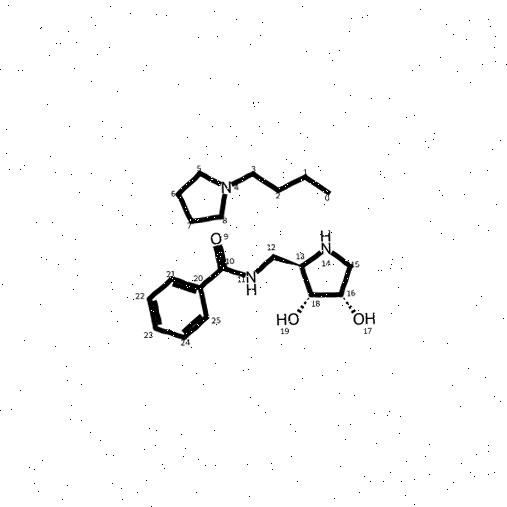 CCCCN1CCCC1.O=C(NC[C@H]1NC[C@H](O)[C@@H]1O)c1ccccc1